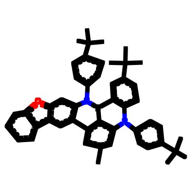 Cc1cc2c3c(c1)N(c1ccc(C(C)(C)C)cc1)c1ccc(C(C)(C)C)cc1B3N(c1ccc(C(C)(C)C)cc1)c1cc3oc4ccccc4c3cc1-2